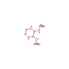 CCCCOC1OCCOC1OCCCC